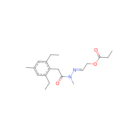 CCC(=O)OCC=NN(C)C(=O)Cc1c(CC)cc(C)cc1CC